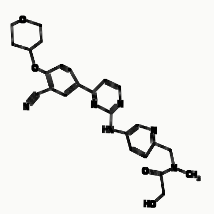 CN(Cc1ccc(Nc2nccc(-c3ccc(OC4CCOCC4)c(C#N)c3)n2)cn1)C(=O)CO